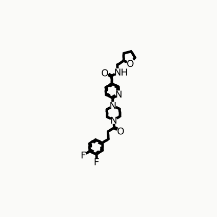 O=C(NCC1CCCO1)c1ccc(N2CCN(C(=O)CCc3ccc(F)c(F)c3)CC2)nc1